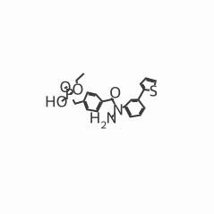 CCOP(=O)(O)Cc1ccc(C(=O)N(N)c2cccc(-c3cccs3)c2)cc1